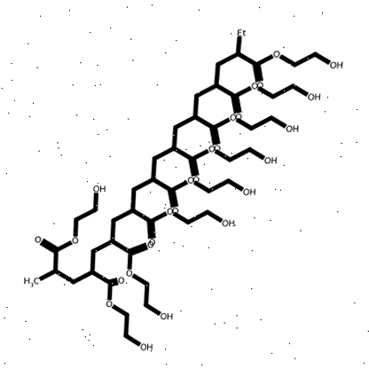 CCC(CC(CC(CC(CC(CC(CC(CC(CC(C)C(=O)OCCO)C(=O)OCCO)C(=O)OCCO)C(=O)OCCO)C(=O)OCCO)C(=O)OCCO)C(=O)OCCO)C(=O)OCCO)C(=O)OCCO